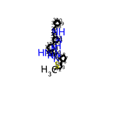 Cc1ccc(-c2cccc3[nH]c(-c4n[nH]c5ccc(-c6cncc(CNCc7ccccc7)c6)nc45)nc23)s1